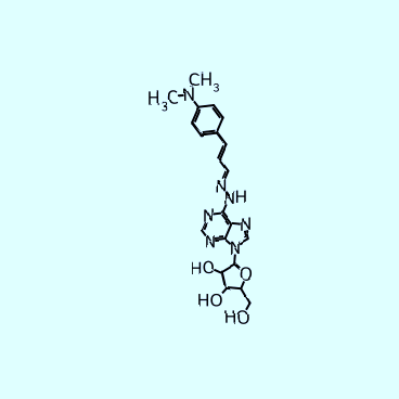 CN(C)c1ccc(/C=C/C=N/Nc2ncnc3c2ncn3C2OC(CO)C(O)C2O)cc1